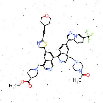 CCOC(=O)C1CCN(Cc2cncc3c(-c4ncc(CN5CCN(C(C)=O)CC5)c5cc(-c6cnn7cc(C(F)(F)F)ccc67)ccc45)cc(-c4cnc(C#CC5CCOCC5)s4)cc23)CC1